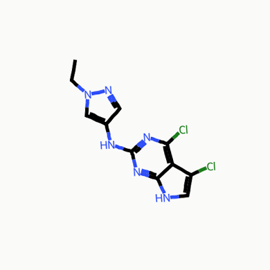 CCn1cc(Nc2nc(Cl)c3c(Cl)c[nH]c3n2)cn1